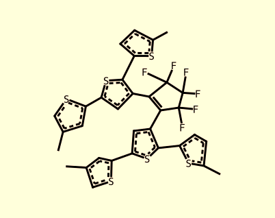 Cc1csc(-c2cc(C3=C(c4cc(-c5cc(C)cs5)sc4-c4ccc(C)s4)C(F)(F)C(F)(F)C3(F)F)c(-c3ccc(C)s3)s2)c1